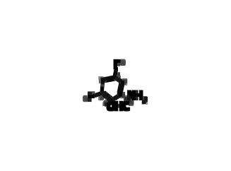 Fc1cccc(F)c1.NC=O